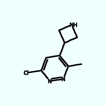 Cc1nnc(Cl)cc1C1CNC1